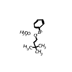 CC(C)(C)CCO[B]c1ccccc1.O.O